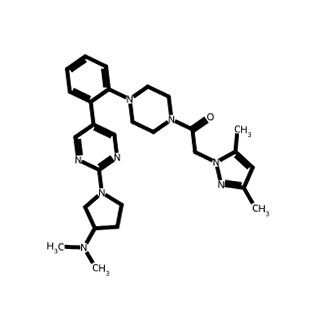 Cc1cc(C)n(CC(=O)N2CCN(c3ccccc3-c3cnc(N4CCC(N(C)C)C4)nc3)CC2)n1